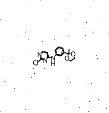 CC1(c2cccc(Nc3ccnc(Cl)n3)c2)OCCO1